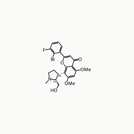 COc1cc(OC)c2c(=O)cc(-c3cccc(F)c3Br)oc2c1[C@H]1CCN(C)[C@@H]1CO